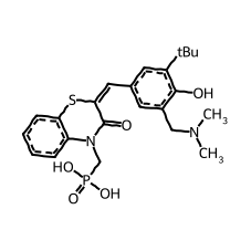 CN(C)Cc1cc(C=C2Sc3ccccc3N(CP(=O)(O)O)C2=O)cc(C(C)(C)C)c1O